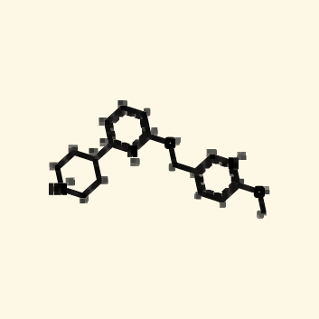 COc1ccc(COc2cccc(C3CCNCC3)n2)cn1